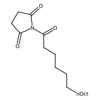 CCCCCCCCCCCCCC(=O)N1C(=O)CCC1=O